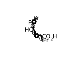 CC(C)OC(Cc1cccc(OCC(O)COc2ccc(Br)cc2F)c1)C(=O)O